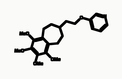 COc1c2c(c(OC)c(OC)c1OC)CCC(CCOc1cccnc1)CC2